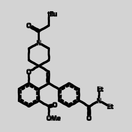 CCN(CC)C(=O)c1ccc(C2=CC3(CCN(C(=O)CC(C)(C)C)CC3)Oc3cccc(C(=O)OC)c32)cc1